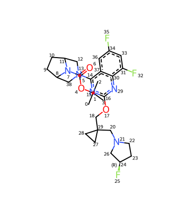 CC(C)(C)OC(=O)N1C2CCC1CN(c1nc(OCC3(CN4CC[C@@H](F)C4)CC3)nc3c(F)cc(F)cc13)C2